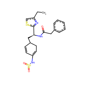 CCc1csc([C@H](CC2C=CC(N[SH](=O)=O)=CC2)NC(=O)Cc2ccccc2)n1